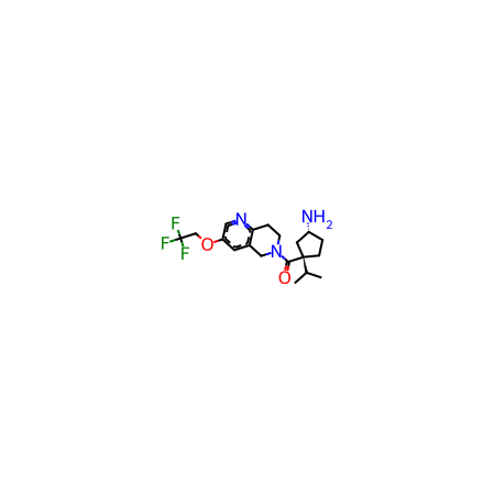 CC(C)[C@]1(C(=O)N2CCc3ncc(OCC(F)(F)F)cc3C2)CC[C@@H](N)C1